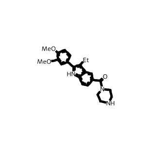 CCc1c(-c2ccc(OC)c(OC)c2)[nH]c2ccc(C(=O)N3CCNCC3)cc12